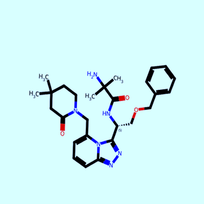 CC1(C)CCN(Cc2cccc3nnc([C@@H](COCc4ccccc4)NC(=O)C(C)(C)N)n23)C(=O)C1